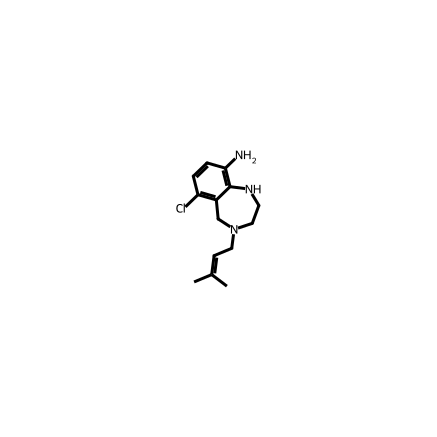 CC(C)=CCN1CCNc2c(N)ccc(Cl)c2C1